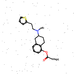 CCCCCCCC(=O)Oc1cccc2c1CCC(N(CCC)CCc1cccs1)C2